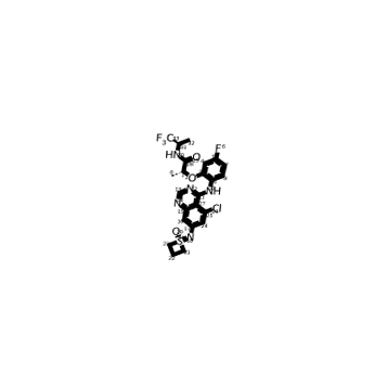 C[C@@H](Oc1cc(F)ccc1Nc1ncnc2cc(N=S3(=O)CCC3)cc(Cl)c12)C(=O)N[C@H](C)C(F)(F)F